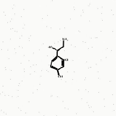 Cl.NC[C@H](O)c1ccc(O)cc1